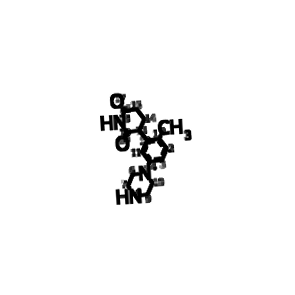 Cc1ccc(N2CCNCC2)cc1C1CCC(=O)NC1=O